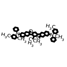 Cc1ccc(C)c(N(c2ccccc2)c2ccc3cc4c(cc3c2)oc2c(C(C)C)c3c(cc24)oc2cc4cc(N(c5ccccc5)c5cc(C)ccc5C)ccc4cc23)c1